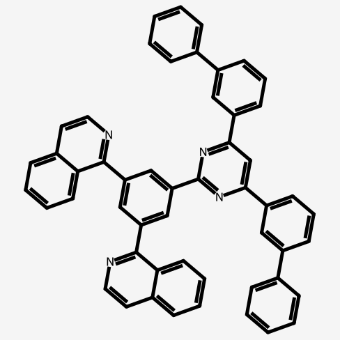 c1ccc(-c2cccc(-c3cc(-c4cccc(-c5ccccc5)c4)nc(-c4cc(-c5nccc6ccccc56)cc(-c5nccc6ccccc56)c4)n3)c2)cc1